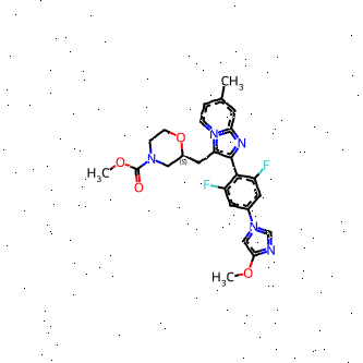 COC(=O)N1CCO[C@@H](Cc2c(-c3c(F)cc(-n4cnc(OC)c4)cc3F)nc3cc(C)ccn23)C1